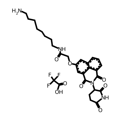 NCCCCCCCCNC(=O)COc1cc2c3c(cccc3c1)C(=O)N(C1CCC(=O)NC1=O)C2=O.O=C(O)C(F)(F)F